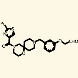 CC(C)c1nc(C(=O)N2CCOC3(CCN(Cc4cccc(OCC=O)c4)CC3)C2)cs1